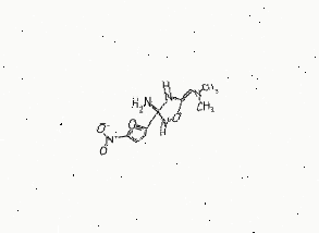 CN(C)C=C1NC(N)(c2ccc([N+](=O)[O-])o2)NO1